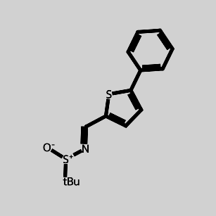 CC(C)(C)[S+]([O-])/N=C/c1ccc(-c2ccccc2)s1